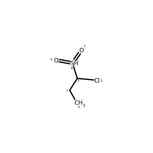 CCC(Cl)[SH](=O)=O